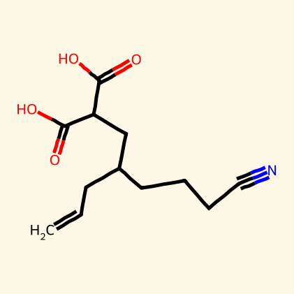 C=CCC(CCCC#N)CC(C(=O)O)C(=O)O